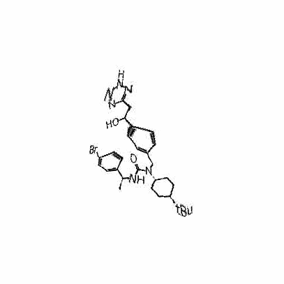 C[C@H](NC(=O)N(Cc1ccc(C(O)Cc2nn[nH]n2)cc1)[C@H]1CC[C@H](C(C)(C)C)CC1)c1ccc(Br)cc1